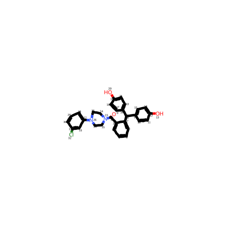 O=C(c1ccccc1C(c1ccc(O)cc1)c1ccc(O)cc1)N1CCN(c2cccc(Cl)c2)CC1